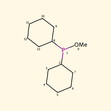 COP(C1CCCCC1)C1CCCCC1